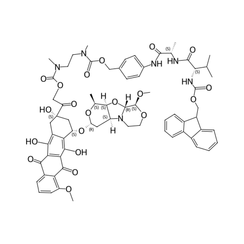 COc1cccc2c1C(=O)c1c(O)c3c(c(O)c1C2=O)C[C@@](O)(C(=O)COC(=O)N(C)CCN(C)C(=O)OCc1ccc(NC(=O)[C@H](C)NC(=O)[C@@H](NC(=O)OCC2c4ccccc4-c4ccccc42)C(C)C)cc1)C[C@@H]3O[C@H]1C[C@H]2[C@H](O[C@@H]3[C@@H](OC)OCCN32)[C@H](C)O1